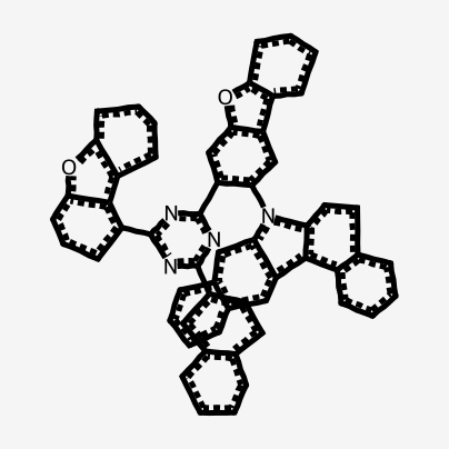 c1ccc2cc(-c3nc(-c4cc5oc6ccccc6c5cc4-n4c5cc6ccccc6cc5c5c6ccccc6ccc54)nc(-c4cccc5oc6ccccc6c45)n3)ccc2c1